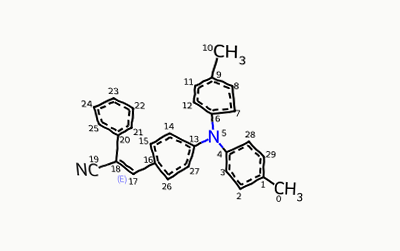 Cc1ccc(N(c2ccc(C)cc2)c2ccc(/C=C(/C#N)c3ccccc3)cc2)cc1